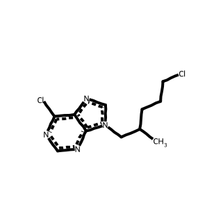 CC(CCCCl)Cn1cnc2c(Cl)ncnc21